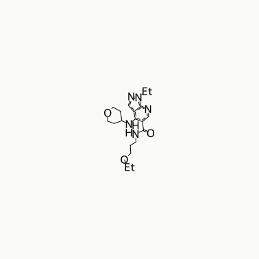 CCOCCCNC(=O)c1cnc2c(cnn2CC)c1NC1CCOCC1